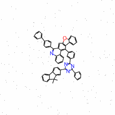 CC1(C)c2ccccc2-c2ccc(-c3nc(-c4ccccc4)nc(-c4cccc(-c5c6c(cc7c(-c8ccc(-c9ccccc9)cc8)nc8ccccc8c57)oc5ccccc56)c4)n3)cc21